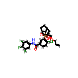 C=CCOC[C@]1(O)CC2CCC(C1)[C@H]2S(=O)(=O)c1cc(C(=O)Nc2cc(F)c(F)c(F)c2)ccc1Cl